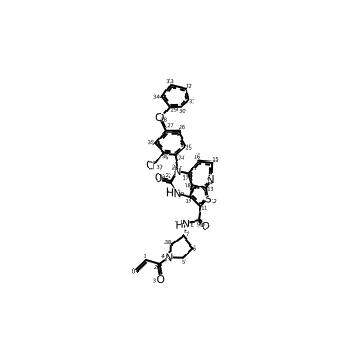 C=CC(=O)N1CC[C@@H](NC(=O)c2sc3nccc4c3c2NC(=O)N4c2ccc(Oc3ccccc3)cc2Cl)C1